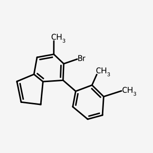 Cc1cccc(-c2c(Br)c(C)cc3c2CC=C3)c1C